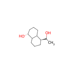 CC(O)[C@H]1CCCC2C1CCC[C@H]2O